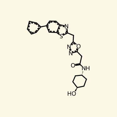 O=C(Cc1nnc(Cc2nc3ccc(-c4ccccc4)cc3s2)o1)N[C@H]1CC[C@H](O)CC1